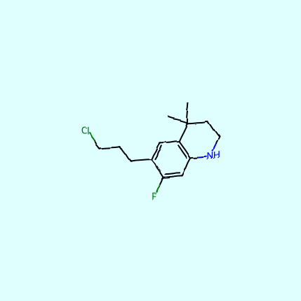 CC1(C)CCNc2cc(F)c(CCCCl)cc21